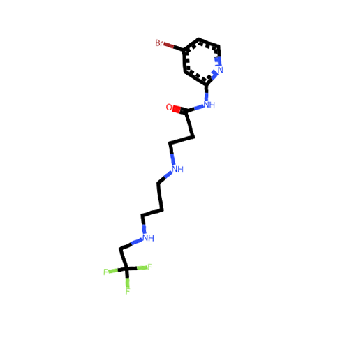 O=C(CCNCCCNCC(F)(F)F)Nc1cc(Br)ccn1